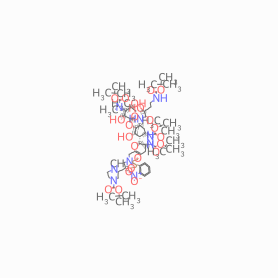 CN1CCN(C(=O)OC(C)(C)C)CC1CCN(CC1=CC[C@@H](NC(=O)OC(C)(C)C)[C@@H](C2[C@@H](NC(=O)OC(C)(C)C)C[C@@H](NC(=O)[C@@H](O)CCNC(=O)OC(C)(C)C)[C@H](O[C@H]3OC[C@](C)(O)[C@H](N(C)C(=O)OC(C)(C)C)[C@H]3O)[C@H]2O)O1)S(=O)(=O)c1ccccc1[N+](=O)[O-]